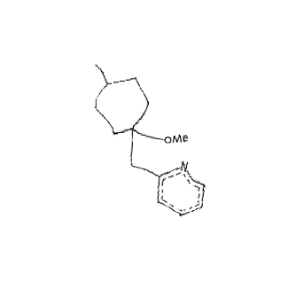 COC1(Cc2ccccn2)CCC(C)CC1